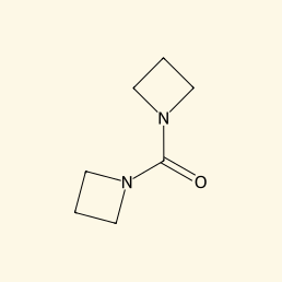 O=C(N1CCC1)N1CCC1